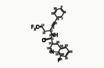 O=C(NC(C#Cc1ccccc1)CCC(F)(F)F)c1cnc2c(F)cccc2c1